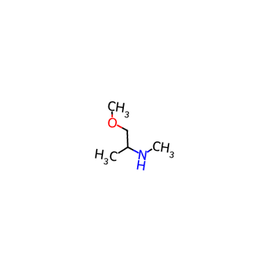 CNC(C)COC